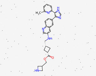 Cc1cccc(-c2[nH]cnc2-c2ccc3ncc(NC[C@H]4C[C@@H](C(=O)OCC5CNC5)C4)cc3c2)n1